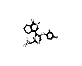 Cn1cc(-c2nc(C[SH](=O)=O)ncc2Oc2ccc(F)cc2F)c2c(c1=O)CCCC2